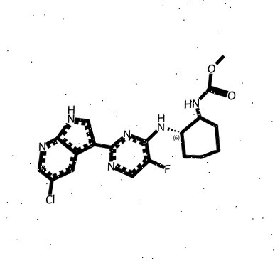 COC(=O)NC1CCCC[C@@H]1Nc1nc(-c2c[nH]c3ncc(Cl)cc23)ncc1F